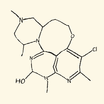 Cc1nc2c3c(c1Cl)OCCC1CN(C)CC(C)N1C3=NC(O)N2I